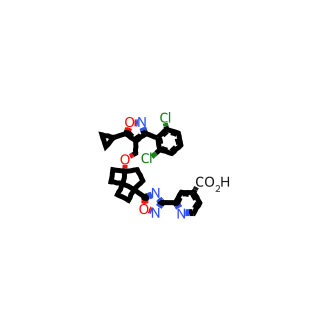 O=C(O)c1ccnc(-c2noc(C34CCC5(OCc6c(-c7c(Cl)cccc7Cl)noc6C6CC6)CCC53CC4)n2)c1